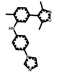 Cc1ccc(-c2c(C)noc2C)cc1Nc1ccc(-n2ccnc2)cc1